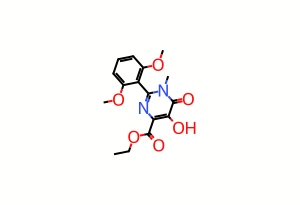 CCOC(=O)c1nc(-c2c(OC)cccc2OC)n(C)c(=O)c1O